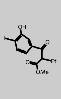 CCC(C(=O)OC)C(=O)c1ccc(I)c(O)c1